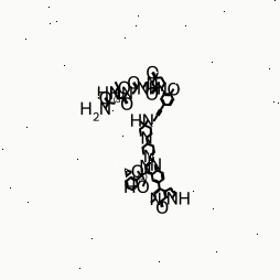 COc1ccc(C#CCNC2(C)CCN(C3CCN(c4nc([C@@](CO)(OC5CC5)c5ccccc5)c5cc(-c6cn(C)c(=O)c7[nH]ccc67)ccc5n4)CC3)CC2)cc1N1CCC(=O)N(CNC(=O)CNC(=O)[C@H](CC(N)=O)NC(C)=O)C1=O